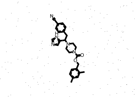 Cc1ccc(COC(=O)N2CCN(C(Cc3ccc(C#N)cc3)c3cnc[nH]3)CC2)c(C)c1